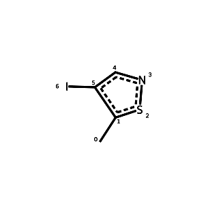 Cc1sncc1I